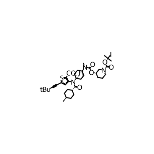 CN(C(=O)O[C@@H]1CCCN(C(=O)OC(C)(C)I)C1)C1CCC(N(c2cc(C#CC(C)(C)C)sc2C(=O)O)C(=O)[C@H]2CC[C@H](C)CC2)CC1